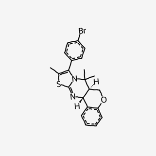 CC1=C(c2ccc(Br)cc2)N2C(=N[C@H]3c4ccccc4OC[C@@H]3C2(C)C)S1